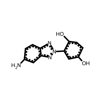 Nc1ccc2nn(-c3cc(O)ccc3O)nc2c1